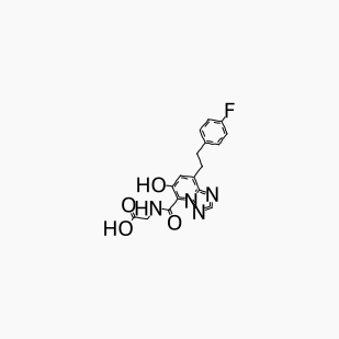 O=C(O)CNC(=O)c1c(O)cc(CCc2ccc(F)cc2)c2ncnn12